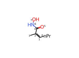 CCCC=C(C)C(=O)NO